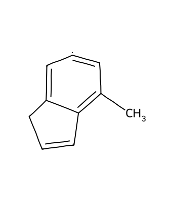 Cc1c[c]cc2c1C=CC2